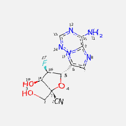 N#C[C@]1(CO)O[C@@H](c2cnc3c(N)ncnn23)[C@H](F)[C@@H]1O